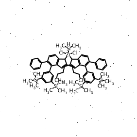 CCCCC1=Cc2c(ccc(-c3ccccc3)c2-c2cc([Si](C)(C)C)cc([Si](C)(C)C)c2)[CH]1[Zr]([Cl])([Cl])([CH]1C(CCCC)=Cc2c1ccc(-c1ccccc1)c2-c1cc([Si](C)(C)C)cc([Si](C)(C)C)c1)[SiH](C)C